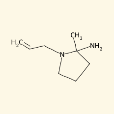 C=CCN1CCCC1(C)N